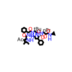 CCC[C@H](NC(=O)[C@@H]1C(C2CCCCC2)CCN1C(=O)[C@@H](NC(=O)[C@@H](NC(=O)c1[nH]c(C)c(C)c1C(C)=O)C1CCCCC1)C(C)(C)C)C(=O)C(=O)NC1CC1